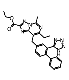 CCOC(=O)c1nc2c(Cc3ccc(-c4ccccc4)c(-c4nnn[nH]4)c3)c(CC)nc(C)n2n1